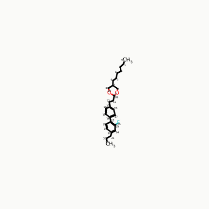 CCCCCCCC1COC(CCc2ccc(-c3ccc(CCC)cc3F)cc2)OC1